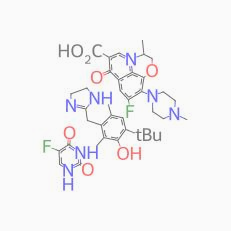 CC1COc2c(N3CCN(C)CC3)c(F)cc3c(=O)c(C(=O)O)cn1c23.Cc1cc(C(C)(C)C)c(O)c(C)c1CC1=NCCN1.O=c1[nH]cc(F)c(=O)[nH]1